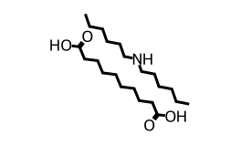 CCCCCCNCCCCCC.O=C(O)CCCCCCCCC(=O)O